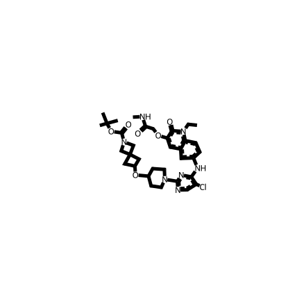 CCn1c(=O)c(OCC(=O)NC)cc2cc(Nc3nc(N4CCC(OC5CC6(C5)CN(C(=O)OC(C)(C)C)C6)CC4)ncc3Cl)ccc21